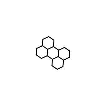 C1CC2CCCC3C4CCCC5CCCC(C(C1)C23)C54